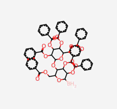 BC1OC(COC(=O)c2ccccc2)C(OC2OC(COC(=O)c3ccccc3)C(OC(=O)c3ccccc3)C(OC(=O)c3ccccc3)C2OC(=O)c2ccccc2)C(OC(=O)c2ccccc2)C1OC(=O)c1ccccc1